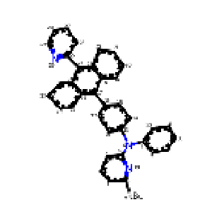 CC(C)(C)c1cccc(N(c2ccccc2)c2ccc(-c3c4ccccc4c(-c4ccccn4)c4ccccc34)cc2)n1